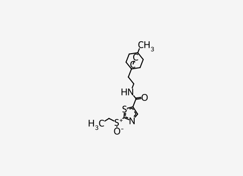 CC[S+]([O-])c1ncc(C(=O)NCCC23CCC(C)(CC2)CC3)s1